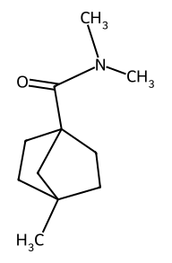 CN(C)C(=O)C12CCC(C)(CC1)C2